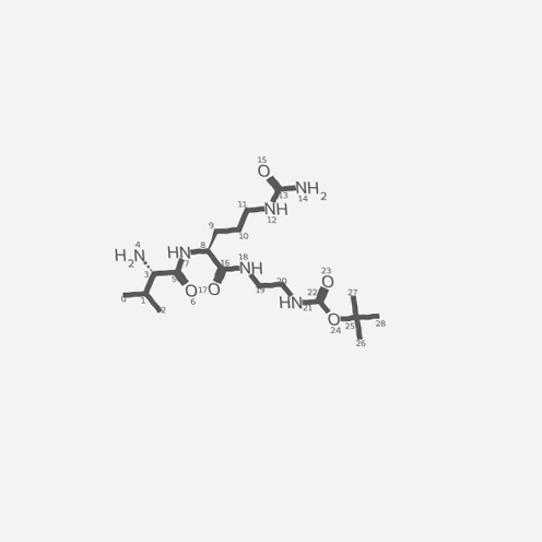 CC(C)[C@H](N)C(=O)N[C@@H](CCCNC(N)=O)C(=O)NCCNC(=O)OC(C)(C)C